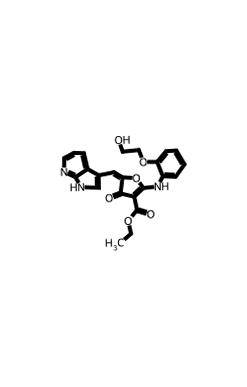 CCOC(=O)C1=C(Nc2ccccc2OCCO)OC(=Cc2c[nH]c3ncccc23)C1=O